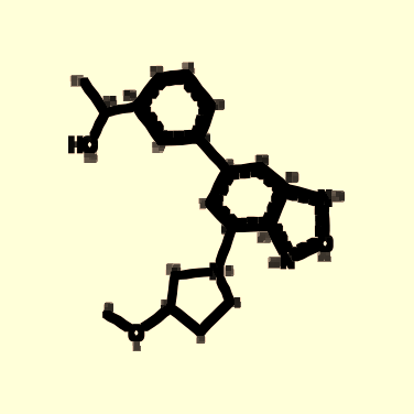 COC1CCN(c2cc(-c3cccc(C(C)O)c3)cc3nonc23)C1